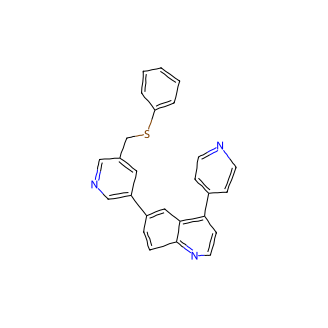 c1ccc(SCc2cncc(-c3ccc4nccc(-c5ccncc5)c4c3)c2)cc1